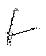 CCCCCCCCCCCCCC(=O)NC(Cc1cn(C)cn1)C(=O)NCCCCCCCCCCCC